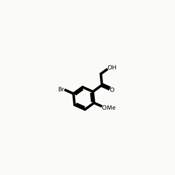 COc1ccc(Br)cc1C(=O)CO